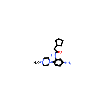 CN1CCN(c2ccc(N)cc2NC(=O)CC2CCCC2)CC1